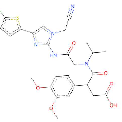 COc1ccc(C(CC(=O)O)C(=O)N(CC(=O)Nc2nc(-c3ccc(Cl)s3)cn2CC#N)C(C)C)cc1OC